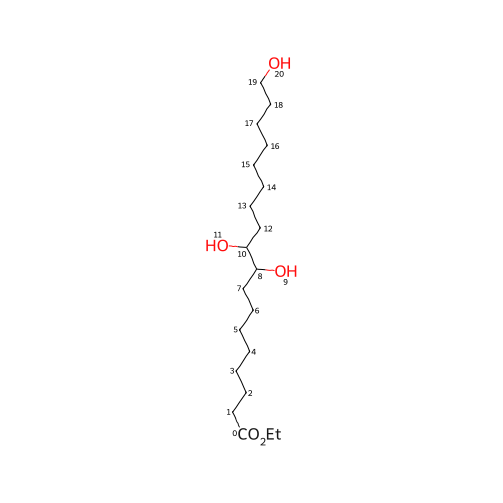 CCOC(=O)CCCCCCCC(O)C(O)CCCCCCCCO